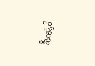 CC(C)(C)OC(=O)ON1CCc2nc(NC(=O)c3cccc(Cl)c3)ncc2C1